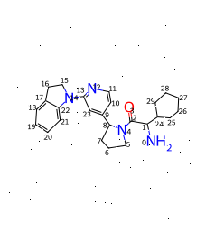 NC(C(=O)N1CCCC1c1ccnc(N2CCc3ccccc32)c1)C1CCCCC1